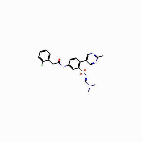 Cc1ncc(-c2ccc(NC(=O)Cc3ccccc3Cl)cc2S(=O)(=O)N=CN(C)C)cn1